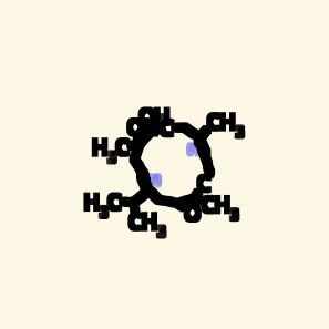 C/C1=C\CCC2(C)OC2C/C(C(C)C)=C/CC(C)(O)C(O)CC1